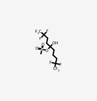 CS(=O)(=O)OC(O)(CCCC(F)(F)C(F)(F)F)CCC(F)(F)C(F)(F)F